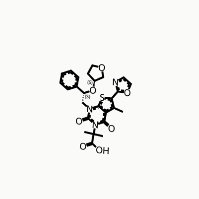 Cc1c(-c2ncco2)sc2c1c(=O)n(C(C)(C)C(=O)O)c(=O)n2C[C@@H](O[C@H]1CCOC1)c1ccccc1